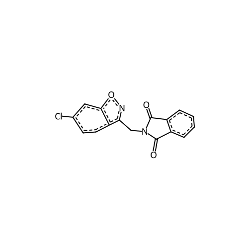 O=C1c2ccccc2C(=O)N1Cc1noc2cc(Cl)ccc12